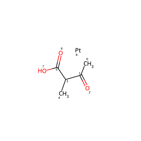 CC(=O)C(C)C(=O)O.[Pt]